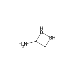 NC1BBC1